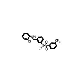 CCN(c1cccc(CNc2ccccc2Cl)c1)S(=O)(=O)c1cccc(C(F)(F)F)c1